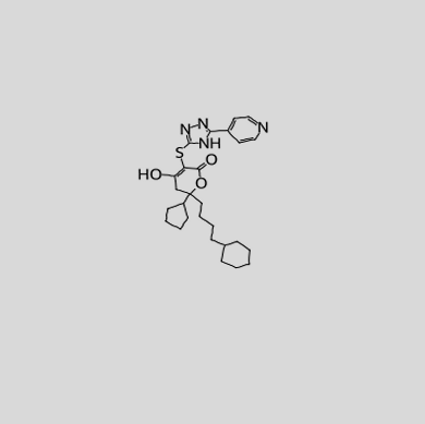 O=C1OC(CCCCC2CCCCC2)(C2CCCC2)CC(O)=C1Sc1nnc(-c2ccncc2)[nH]1